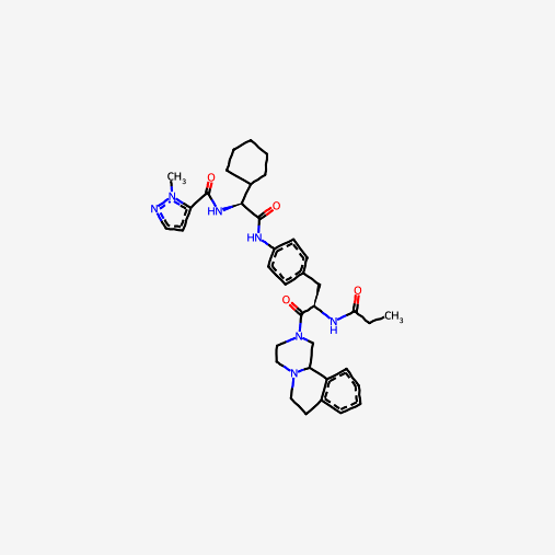 CCC(=O)N[C@H](Cc1ccc(NC(=O)[C@@H](NC(=O)c2ccnn2C)C2CCCCC2)cc1)C(=O)N1CCN2CCc3ccccc3C2C1